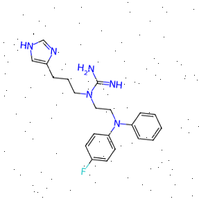 N=C(N)N(CCCc1c[nH]cn1)CCN(c1ccccc1)c1ccc(F)cc1